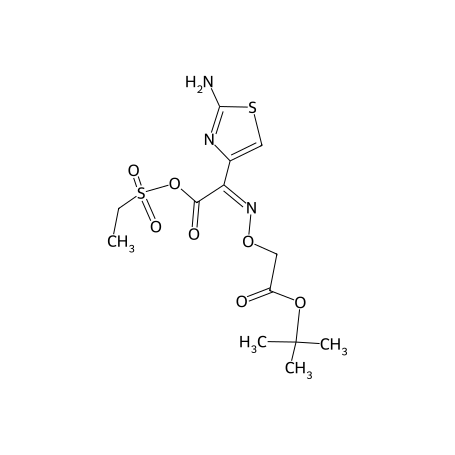 CCS(=O)(=O)OC(=O)/C(=N\OCC(=O)OC(C)(C)C)c1csc(N)n1